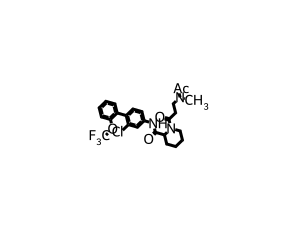 CC(=O)N(C)CCC(=O)N1CCCCC1C(=O)Nc1ccc(-c2ccccc2OC(F)(F)F)c(Cl)c1